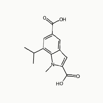 CC(C)c1cc(C(=O)O)cc2cc(C(=O)O)n(C)c12